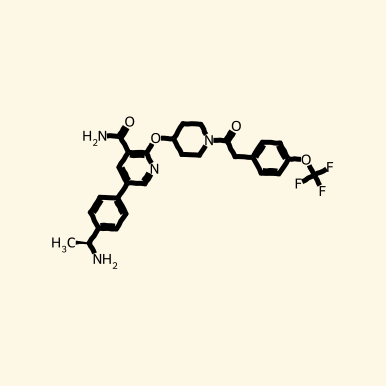 C[C@H](N)c1ccc(-c2cnc(OC3CCN(C(=O)Cc4ccc(OC(F)(F)F)cc4)CC3)c(C(N)=O)c2)cc1